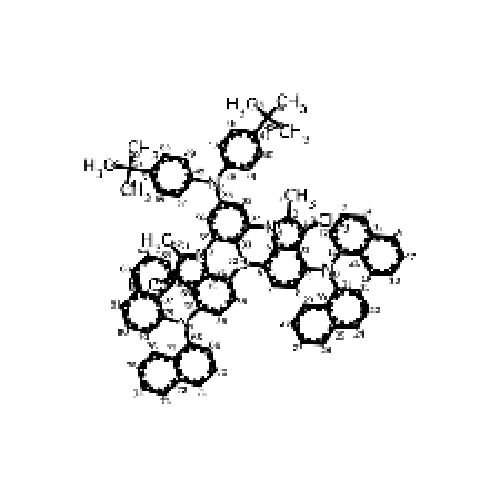 Cc1c(C)n2c3c(ccc(N(c4cccc5ccccc45)c4cccc5ccccc45)c13)B1c3c-2cc(N(c2ccc(C(C)(C)C)cc2)c2ccc(C(C)(C)C)cc2)cc3-n2c(C)c(C)c3c(N(c4cccc5ccccc45)c4cccc5ccccc45)ccc1c32